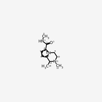 CNC(=O)c1ccc2n1CCN(C)C2C